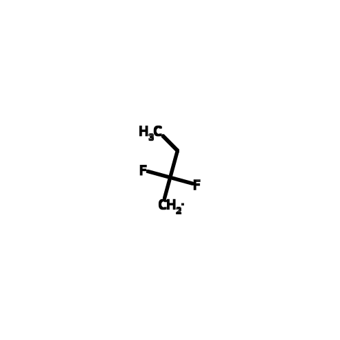 [CH2]C(F)(F)CC